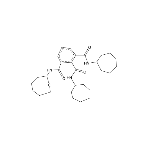 O=C(NC1CCCCCC1)c1cccc(C(=O)NC2CCCCCC2)c1C(=O)NC1CCCCCC1